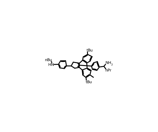 CCCCNc1ccc(C2CC34CC(c5ccc(C(N)CCC)cc5)CC3(C2)c2cc(C(C)(C)C)c(C)cc2-c2ccc(C(C)(C)C)cc24)cc1